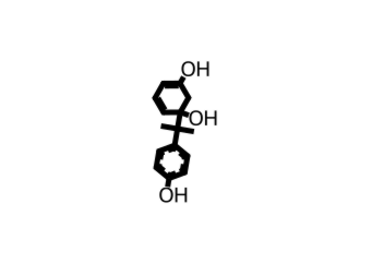 CC(C)(c1ccc(O)cc1)C1(O)C=CC=C(O)C1